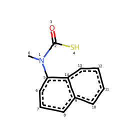 CN(C(=O)S)c1cccc2ccccc12